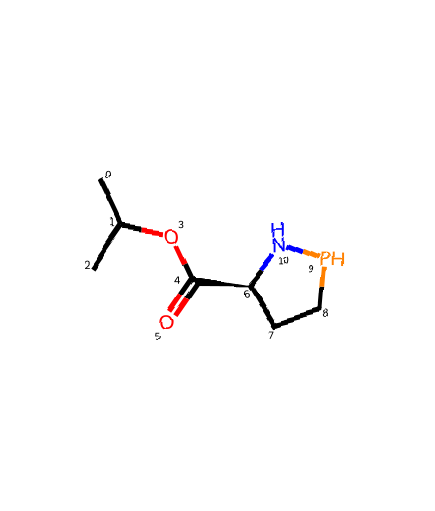 CC(C)OC(=O)[C@@H]1CCPN1